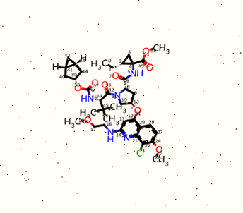 CC[C@@H]1C[C@]1(NC(=O)[C@@H]1C[C@@H](Oc2cc(NCCOC)nc3c(Cl)c(OC)ccc23)CN1C(=O)[C@@H](NC(=O)O[C@@H]1C[C@@H]2C[C@@H]2C1)C(C)(C)C)C(=O)OC